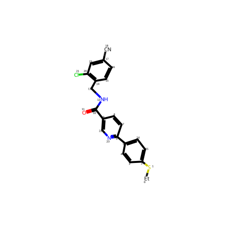 CCSc1ccc(-c2ccc(C(=O)NCc3ccc(C#N)cc3Cl)cn2)cc1